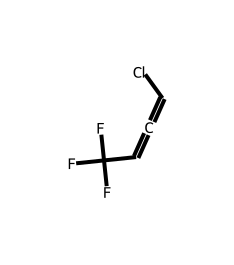 FC(F)(F)C=C=CCl